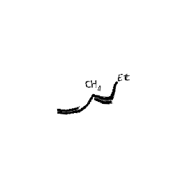 C.C=CC=CCC